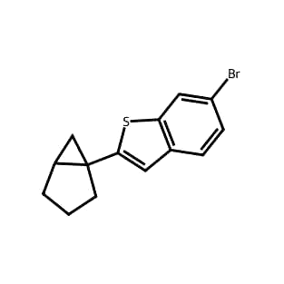 Brc1ccc2cc(C34CCCC3C4)sc2c1